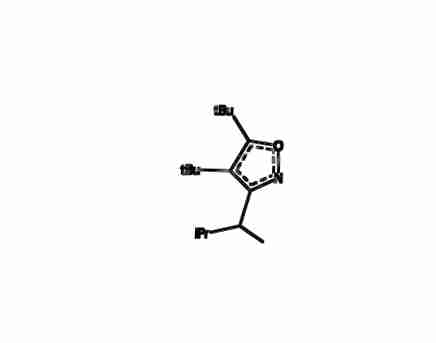 CC(C)C(C)c1noc(C(C)(C)C)c1C(C)(C)C